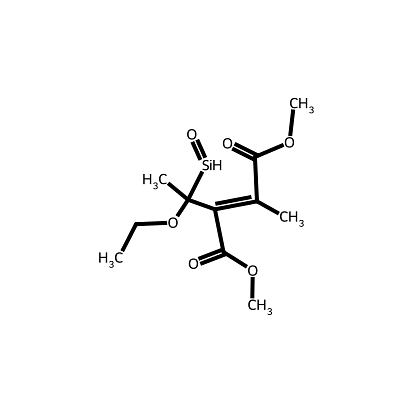 CCOC(C)([SiH]=O)C(C(=O)OC)=C(C)C(=O)OC